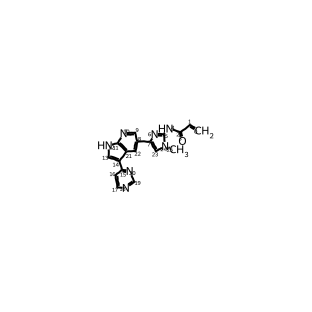 C=CC(=O)Nc1nc(-c2cnc3[nH]cc(-c4ccncn4)c3c2)cn1C